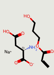 C=CC(=O)OCCCO.N[C@@H](CC(=O)O)C(=O)[O-].[Na+]